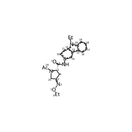 CCON=C1C[C@@H](C(=O)Nc2ccc3c(c2)c2ccccc2n3CC)N(C(C)=O)C1